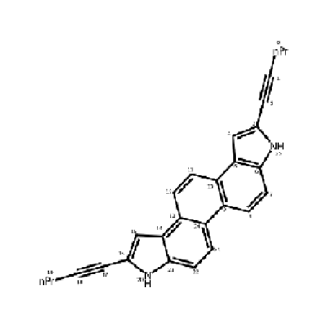 CCCC#Cc1cc2c(ccc3c2ccc2c4cc(C#CCCC)[nH]c4ccc23)[nH]1